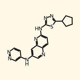 c1cc(Nc2cnc3ccc(Nc4nnc(C5CCCC5)s4)nc3c2)cnn1